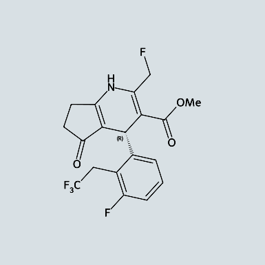 COC(=O)C1=C(CF)NC2=C(C(=O)CC2)[C@H]1c1cccc(F)c1CC(F)(F)F